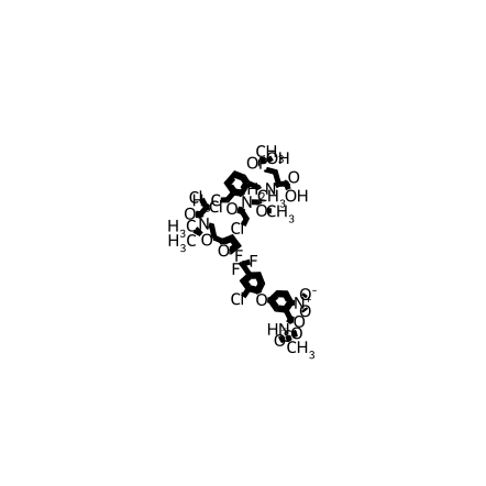 CC1(C)OC(c2ccco2)CN1C(=O)C(Cl)Cl.CCc1cccc(CC)c1N(COC)C(=O)CCl.CP(=O)(O)CCC(N)C(=O)O.CS(=O)(=O)NC(=O)c1cc(Oc2ccc(C(F)(F)F)cc2Cl)ccc1[N+](=O)[O-]